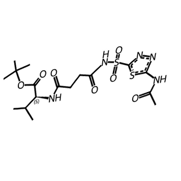 CC(=O)Nc1nnc(S(=O)(=O)NC(=O)CCC(=O)N[C@H](C(=O)OC(C)(C)C)C(C)C)s1